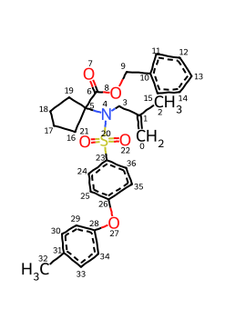 C=C(C)CN(C1(C(=O)OCc2ccccc2)CCCC1)S(=O)(=O)c1ccc(Oc2ccc(C)cc2)cc1